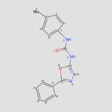 CC(C)(C)c1ccc(NC(=O)Nc2nnc(-c3ccccc3)o2)cc1